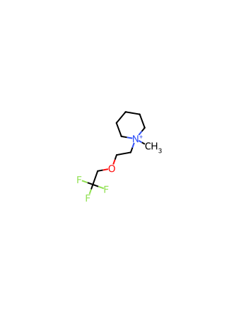 C[N+]1(CCOCC(F)(F)F)CCCCC1